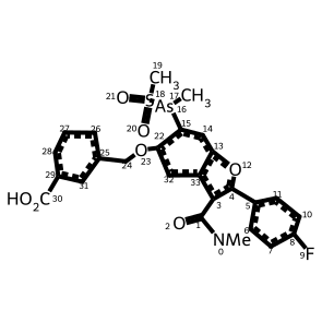 CNC(=O)c1c(-c2ccc(F)cc2)oc2cc([As](C)S(C)(=O)=O)c(OCc3cccc(C(=O)O)c3)cc12